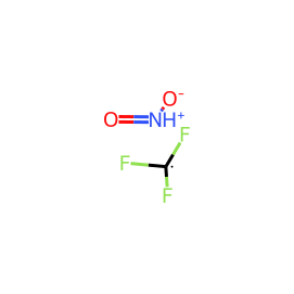 F[C](F)F.O=[NH+][O-]